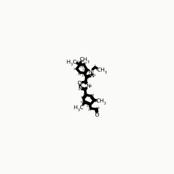 CCn1nc(-c2nc(-c3cc(C)c(CC=O)c(C)c3)no2)c2c1CC(C)(C)CC2